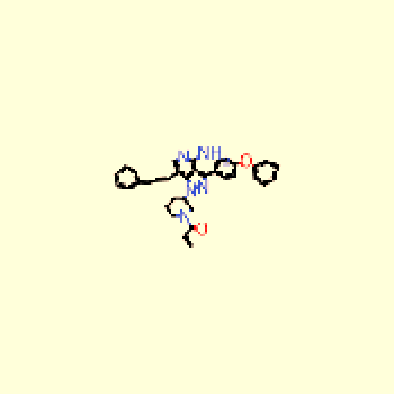 C=CC(=O)N1CCCC(n2nc(-c3ccc(Oc4ccccc4)cc3)c3c(N)ncc(C=CCc4ccccc4)c32)C1